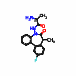 CC1C(=O)N(NC(=O)[C@H](C)N)c2ccccc2-c2cc(F)ccc21